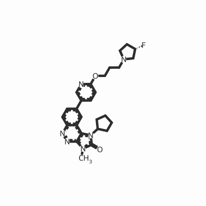 Cn1c(=O)n(C2CCCC2)c2c3cc(-c4ccc(OCCCN5CC[C@H](F)C5)nc4)ccc3nnc21